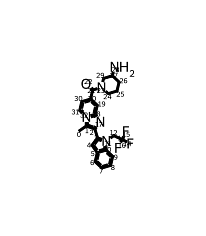 Cc1c(-c2cc3ccccc3n2CC(F)(F)F)nc2cc(C(=O)N3CCCC(N)C3)ccn12